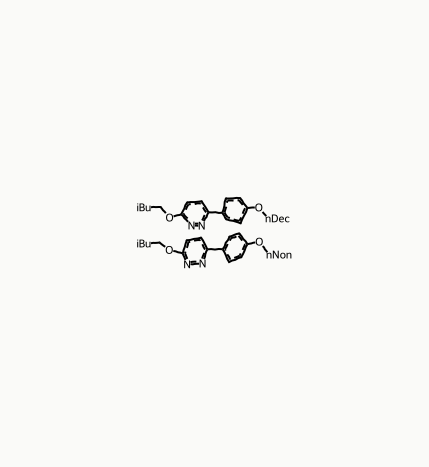 CCCCCCCCCCOc1ccc(-c2ccc(OCC(C)CC)nn2)cc1.CCCCCCCCCOc1ccc(-c2ccc(OCC(C)CC)nn2)cc1